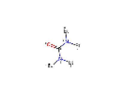 CCCCN(CC)C(=O)N(CC)CC